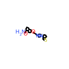 NC(=O)c1cccc2cc(OCCCN3CCN(c4cccc5sccc45)CC3)ccc12